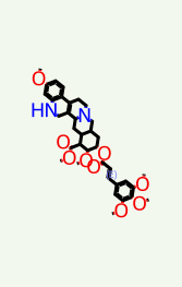 COC(=O)C1C2CC3C4=C(CCN3CC2CC(OC(=O)/C=C/c2cc(OC)c(OC)c(OC)c2)C1OC)c1ccc(OC)cc1NC4